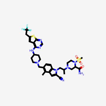 Cc1c(CN2CCC(Nc3ncnc4sc(CC(F)(F)F)cc34)CC2)ccc2c1cc(C#N)n2CC(C)N1CCN(S(C)(=O)=O)C(C(N)=O)C1